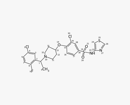 CC(c1cc(Cl)ccc1F)N1CCC(Oc2ccc(S(=O)(=O)Nc3cscn3)cc2Cl)CC1